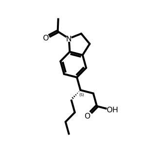 CCCC[C@@H](CC(=O)O)c1ccc2c(c1)CCN2C(C)=O